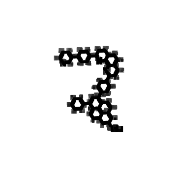 CC(C)(C)c1cc2ccc3c(-c4ccccc4)cc(-c4ccc(-c5ccc6ccc7ccc(-c8ccc(-c9cccnc9)cc8)nc7c6n5)cc4)c4ccc(c1)c2c34